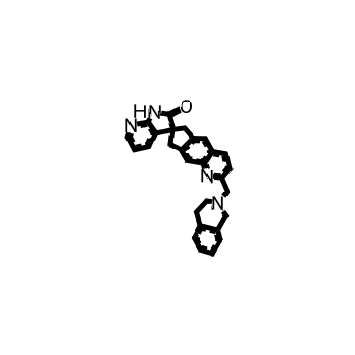 O=C1Nc2ncccc2C12Cc1cc3ccc(CN4CCc5ccccc5C4)nc3cc1C2